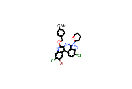 COc1ccc(COc2nc3cc(Cl)c(Br)cc3c(-c3ccc(Cl)c4nn(C5CCCCO5)cc34)c2N)cc1